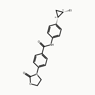 CC[C@H]1C[C@H]1c1ccc(NC(=O)c2ccc(N3CCOC3=O)cc2)cc1